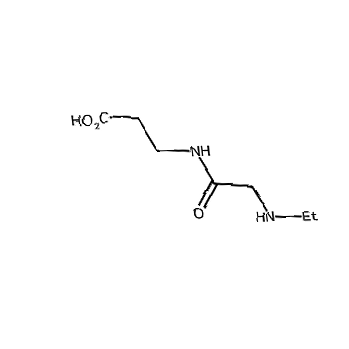 CCNCC(=O)NCCC(=O)O